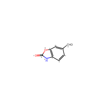 O=Cc1ccc2[nH]c(=O)oc2c1